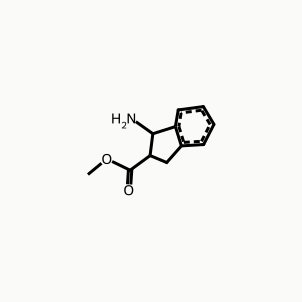 COC(=O)C1Cc2ccccc2C1N